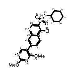 COc1ncc(-c2ccc3c(Cl)c(S(=O)(=O)NC4CCCCC4)cnc3c2)c(OC)n1